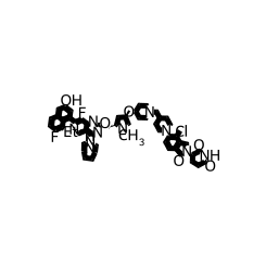 CCc1c(F)ccc2cc(O)cc(-c3ncc4c(N5CC6CCC(C5)N6)nc(OC[C@@H]5C[C@@H](OC6CCN(CC7CCN(c8ccc9c(c8Cl)CN(C8CCC(=O)NC8=O)C9=O)CC7)CC6)CN5C)nc4c3F)c12